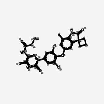 Cc1cc(Oc2c(Cl)cc(-n3nc(NC(=O)OC(C)(C)C)c(=O)[nH]c3=O)cc2Cl)cc2c1NC(=O)C21CCC1